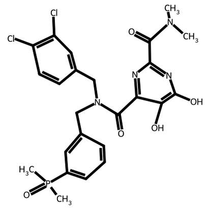 CN(C)C(=O)c1nc(O)c(O)c(C(=O)N(Cc2cccc(P(C)(C)=O)c2)Cc2ccc(Cl)c(Cl)c2)n1